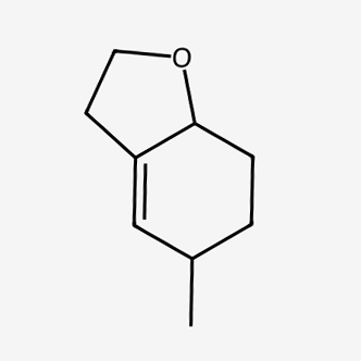 CC1C=C2CCOC2CC1